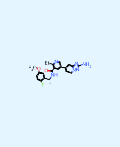 CCc1ncc(-c2ccn3nc(N)nc3c2)cc1C(=O)N[C@H](C)c1cc(OC(F)(F)F)ccc1F